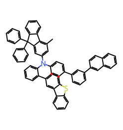 Cc1cc(N(c2ccc(-c3cccc(-c4ccc5ccccc5c4)c3)cc2)c2ccccc2-c2ccc3sc4ccccc4c3c2)cc2c1-c1ccccc1C2(c1ccccc1)c1ccccc1